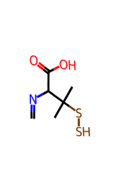 C=NC(C(=O)O)C(C)(C)SS